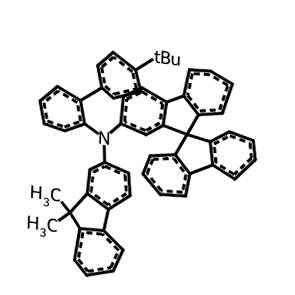 CC(C)(C)c1ccc(-c2ccccc2N(c2ccc3c(c2)C(C)(C)c2ccccc2-3)c2ccc3c(c2)C2(c4ccccc4-c4ccccc42)c2ccccc2-3)cc1